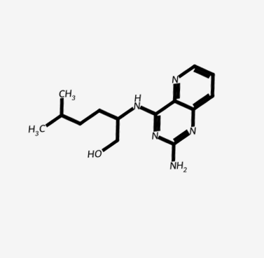 CC(C)CCC(CO)Nc1nc(N)nc2cccnc12